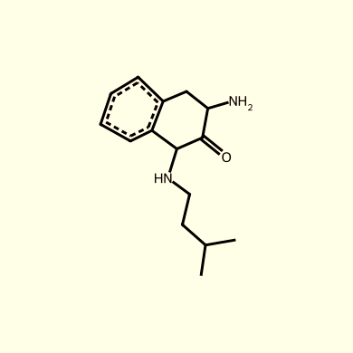 CC(C)CCNC1C(=O)C(N)Cc2ccccc21